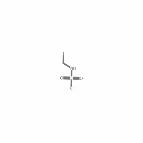 CS(=O)(=O)NCI